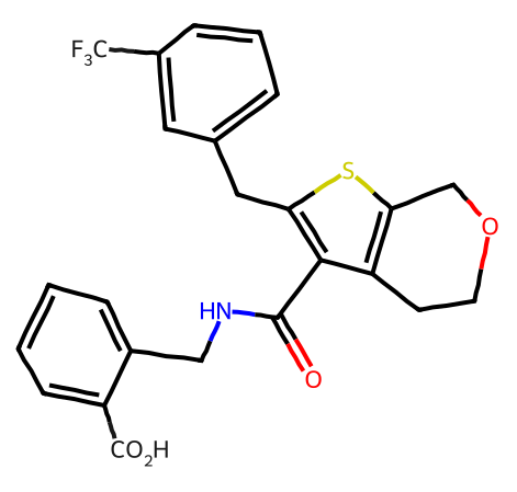 O=C(O)c1ccccc1CNC(=O)c1c(Cc2cccc(C(F)(F)F)c2)sc2c1CCOC2